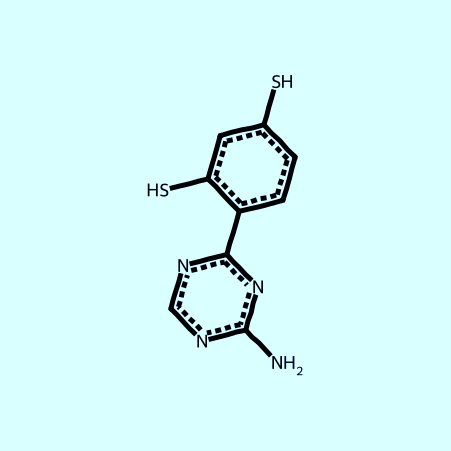 Nc1ncnc(-c2ccc(S)cc2S)n1